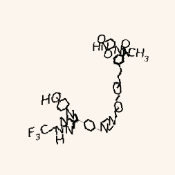 Cn1c(=O)n([C@H]2CCC(=O)NC2=O)c2ccc(CCCOCCOCCN3CCN(C[C@H]4CC[C@@H](c5cn([C@H]6CC[C@H](O)CC6)c6nc(NCCC(F)(F)F)ncc65)CC4)CC3)cc21